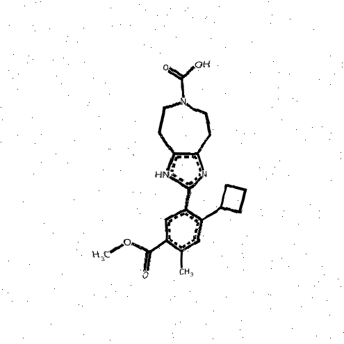 COC(=O)c1cc(-c2nc3c([nH]2)CCN(C(=O)O)CC3)c(C2CCC2)cc1C